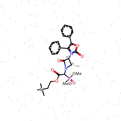 COP(=O)(OC)C(C(=O)OCC[Si](C)(C)C)N1C(=O)[C@@H](n2c(-c3ccccc3)c(-c3ccccc3)oc2=O)[C@@H]1C